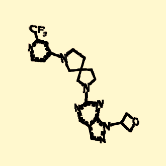 FC(F)(F)c1cc(N2CCC3(CCN(c4ncc5cnn(C6COC6)c5n4)C3)C2)ccn1